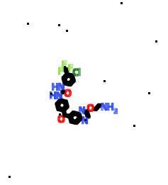 NCCOc1cnc2ccc(C(=O)c3ccc(NC(=O)Nc4ccc(Cl)c(C(F)(F)F)c4)cc3)cc2n1